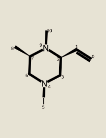 C=C[C@H]1CN(I)C[C@@H](C)N1C